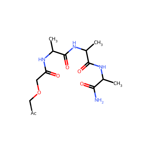 CC(=O)COCC(=O)NC(C)C(=O)NC(C)C(=O)NC(C)C(N)=O